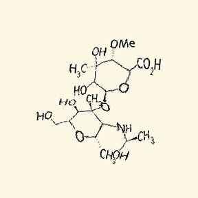 CO[C@@H]1C(C(=O)O)O[C@@H](O[C@]2(C)C(N[C@@H](C)O)[C@H](C)OC(CO)[C@H]2O)C(O)[C@@]1(C)O